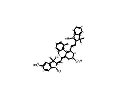 CCCC[N+]1=C(/C=C/C2=C(c3c(Cl)cccc3Cl)C(=C/C=C3/N(CCC)c4ccc(S(=O)(=O)O)cc4C3(C)C)/CC(C(=O)O)C2)C(C)(C)c2ccccc21